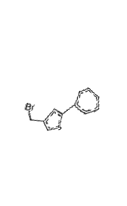 BrCc1csc(-c2ccccc2)c1